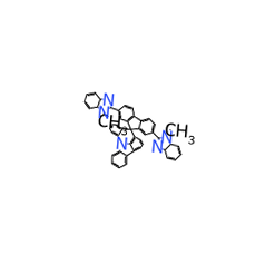 CN1C(c2ccc3c(c2)C2(c4cc(C5=NC6C=CC=CC6N5C)ccc4-3)c3ccccc3-n3c4ccccc4c4cccc2c43)=NC2C=CC=CC21